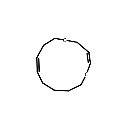 [C]1=CCCCCC=CCCCCC1